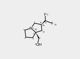 OC[C@@]12CCCN1C[C@@H](C(F)F)C2